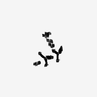 O.O.O.O.O=[N+]([O-])[O-].O=[N+]([O-])[O-].[Pd+2]